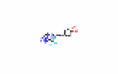 COC1CCC(CCCCN2CCN(C)CC2C(F)(F)F)CC1